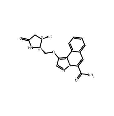 CC[C@@H]1CC(=O)N[C@@H]1COc1cnn2c(C(N)=O)cc3ccccc3c12